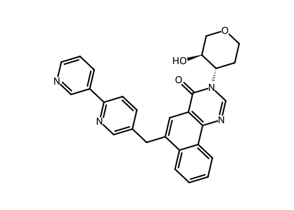 O=c1c2cc(Cc3ccc(-c4cccnc4)nc3)c3ccccc3c2ncn1[C@H]1CCOC[C@@H]1O